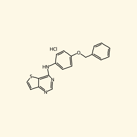 Cl.c1ccc(COc2ccc(Nc3ncnc4ccsc34)cc2)cc1